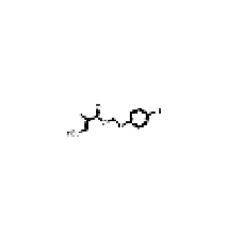 CCCCC=C(C)C(=O)OCOc1ccc(Cl)cc1